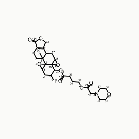 CC(C)C1CC2OC23C2(C)CCC4=C(COC4=O)C2CC2OC23C1OC(=O)CCCOC(=O)CN1CCOCC1